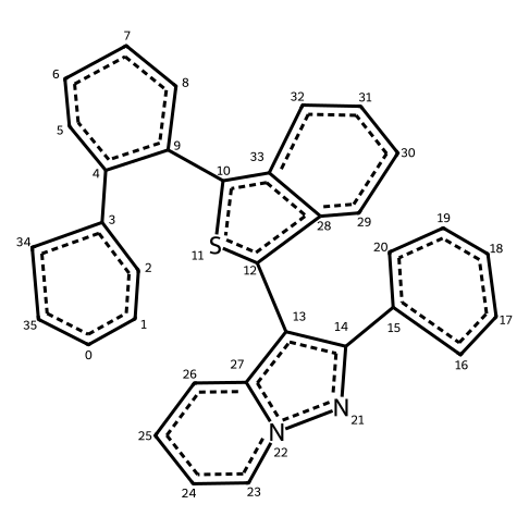 c1ccc(-c2ccccc2-c2sc(-c3c(-c4ccccc4)nn4ccccc34)c3ccccc23)cc1